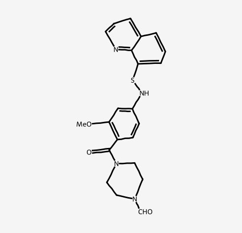 COc1cc(NSc2cccc3cccnc23)ccc1C(=O)N1CCN(C=O)CC1